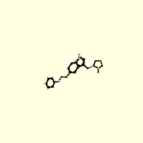 CN1CCC[C@@H]1Cc1c[nH]c2ccc(CCSc3ccccc3)cc12